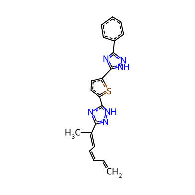 C=C/C=C\C=C(/C)c1n[nH]c(-c2ccc(-c3nc(-c4ccccc4)n[nH]3)s2)n1